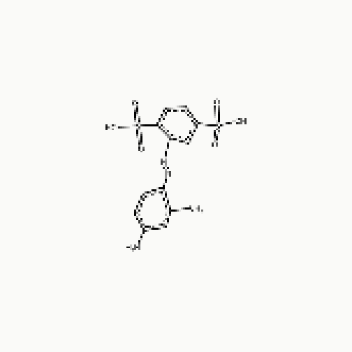 Cc1cc(N)ccc1N=Nc1cc(S(=O)(=O)O)ccc1S(=O)(=O)O